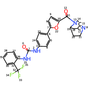 O=C(Nc1ccc(-c2ccc(C(=O)N3CCN4CCC3CC4)o2)cc1)Nc1ccccc1C(F)(F)F